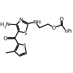 CCCC(=O)OCCNc1nc(N)c(C(=O)c2sccc2C)s1